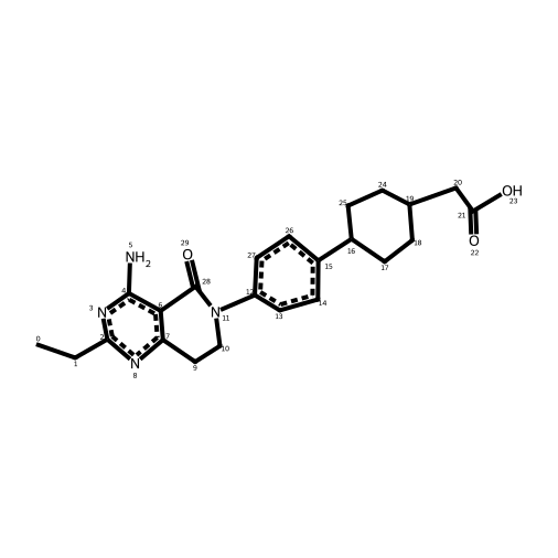 CCc1nc(N)c2c(n1)CCN(c1ccc(C3CCC(CC(=O)O)CC3)cc1)C2=O